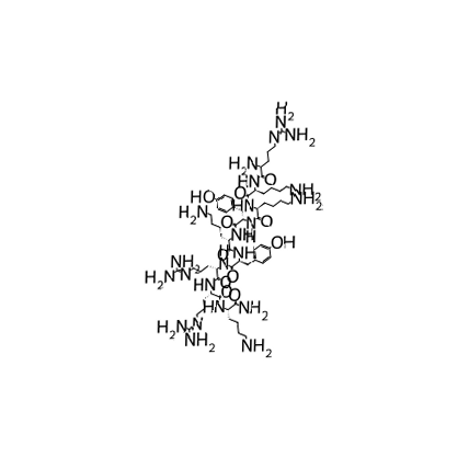 NCCCC[C@H](NC(=O)[C@H](CCCN=C(N)N)NC(=O)[C@H](CCCN=C(N)N)NC(=O)[C@H](Cc1ccc(O)cc1)NC(=O)[C@H](CCCCN)NC(=O)[C@H](Cc1ccc(O)cc1)NC(=O)[C@H](CCCCN)NC(=O)[C@H](CCCCN)NC(=O)[C@@H](N)CCCN=C(N)N)C(N)=O